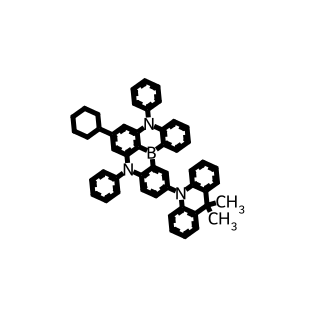 CC1(C)c2ccccc2N(c2ccc3c(c2)B2c4ccccc4N(c4ccccc4)c4cc(C5CCCCC5)cc(c42)N3c2ccccc2)c2ccccc21